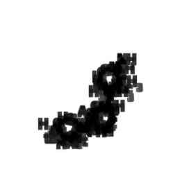 CC[C@@H]1[C@@H]2CN(C(=O)[C@H](C(C)(C)C)NC(=O)O[C@]3(C)C[C@H]3CCCCCc3cn4c(CC(C)(C)[C@@H]5NC(=O)O[C@@H]6C[C@H]6CCCCCCN6C(=O)N/C(=C\C=N\CC(C)(C)[C@@H]7NC(=O)O[C@@H]8C[C@H]8CCCCCC8=N/C(=C/C=N)NC=C8O[C@H]8CN(C7=O)[C@H](C(C)=O)[C@@H]8C)N=C6O[C@H]6CN(C5=O)[C@H](C(C)=O)[C@@H]6C)cnc4cc3O2)[C@@H]1C(C)=O